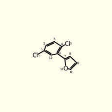 Clc1ccc(Cl)c(-c2ccco2)c1